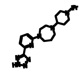 CC(C)N1CCC(N2CCCN(c3cccc(-c4nn[nH]n4)n3)CC2)CC1